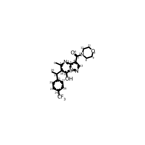 Cc1nc2c(C(=O)N3CCOCC3)cnn2c(O)c1C(C)c1ccc(C(F)(F)F)cc1